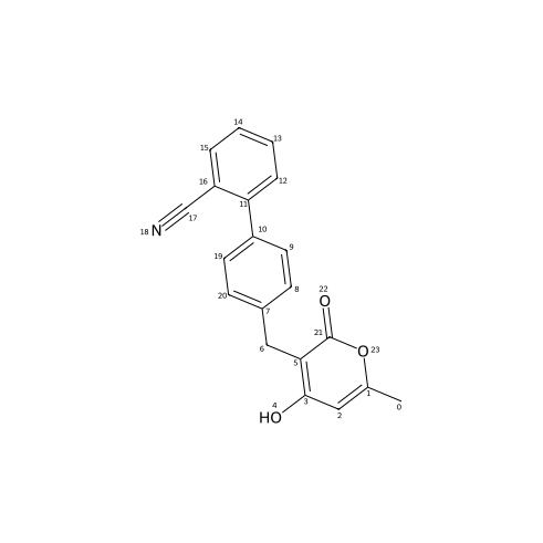 Cc1cc(O)c(Cc2ccc(-c3ccccc3C#N)cc2)c(=O)o1